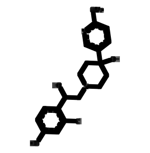 COc1ccc(C2(O)CCN(CC(O)c3ccc(O)cc3Cl)CC2)cn1